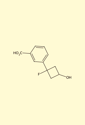 O=C(O)c1cccc(C2(F)CC(O)C2)c1